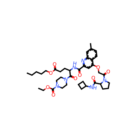 CCCCCOC(=O)CCC(NC(=O)c1cc(OCC(=O)N2CCCC2C(=O)NC2CCC2)c2ccc(C)cc2n1)C(=O)N1CCN(C(=O)OCC)CC1